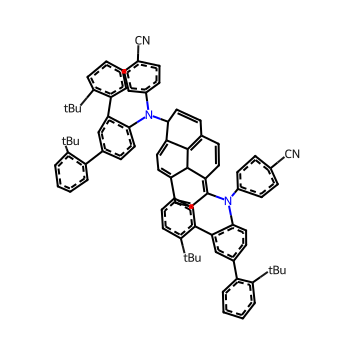 CC(C)(C)c1ccccc1-c1ccc(N(C2=C3C=CC4=C5C(=CC=C(C=C2)C35)C(N(c2ccc(C#N)cc2)c2ccc(-c3ccccc3C(C)(C)C)cc2-c2ccccc2C(C)(C)C)C=C4)c2ccc(C#N)cc2)c(-c2ccccc2C(C)(C)C)c1